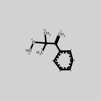 C=C(c1ccccc1)C(C)(C)OO